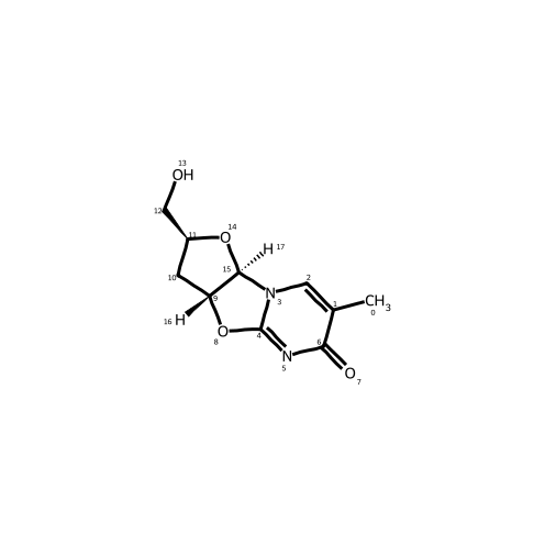 Cc1cn2c(nc1=O)O[C@@H]1C[C@@H](CO)O[C@H]12